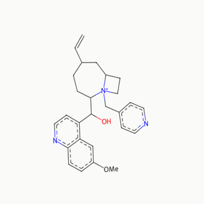 C=CC1CCC(C(O)c2ccnc3ccc(OC)cc23)[N+]2(Cc3ccncc3)CCC2C1